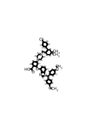 COc1ccc(C(c2ccc(OC)cc2)n2cnc3c(Oc4cc(N5CCN(CC6=C(c7ccc(Cl)cc7)CC(C)(C)CC6)CC5)ccc4C(=O)O)cccc32)cc1